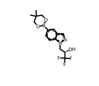 CC1(C)COB(c2ccc3c(cnn3C[C@@H](O)C(F)(F)F)c2)OC1